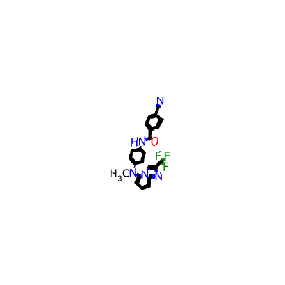 CN(c1cccc2nc(C(F)(F)F)cn12)[C@H]1CC[C@@H](NC(=O)c2ccc(C#N)cc2)CC1